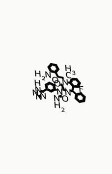 Cc1cccc2c1N(CC(=O)c1ccccc1N)C(=O)[C@@H](N(C(N)=O)c1cccc(-c3nnn[nH]3)c1)N=C2c1ccccc1F